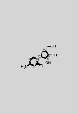 Nc1ncn([C@@H]2S[C@H](CO)[C@@H](O)[C@@H]2O)c(=O)n1